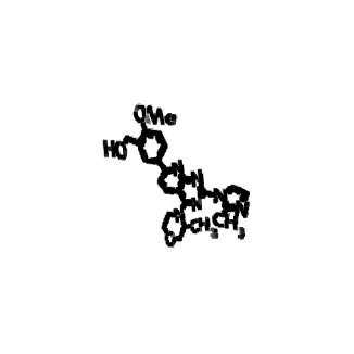 COc1ccc(-c2ccc3c(N4CCOC[C@@H]4C)nc(-n4ccnc4C)nc3n2)cc1CO